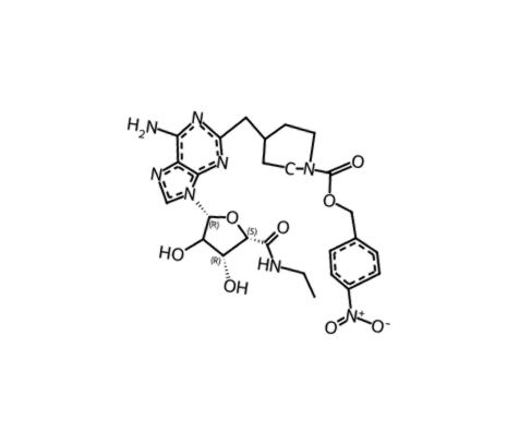 CCNC(=O)[C@H]1O[C@@H](n2cnc3c(N)nc(CC4CCN(C(=O)OCc5ccc([N+](=O)[O-])cc5)CC4)nc32)C(O)[C@H]1O